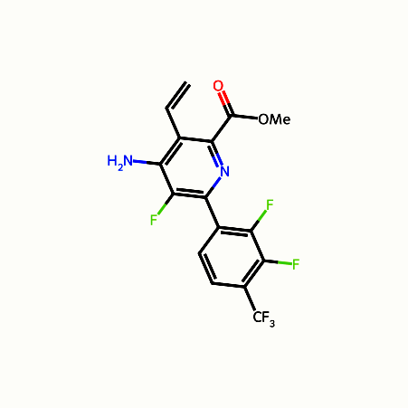 C=Cc1c(C(=O)OC)nc(-c2ccc(C(F)(F)F)c(F)c2F)c(F)c1N